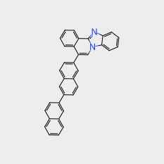 c1ccc2cc(-c3ccc4cc(-c5cn6c7ccccc7nc6c6ccccc56)ccc4c3)ccc2c1